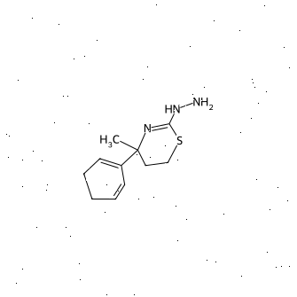 CC1(C2=CCCC=C2)CCSC(NN)=N1